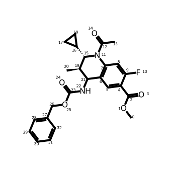 COC(=O)c1cc2c(cc1F)N(C(C)=O)[C@@H](C1CC1)[C@H](C)C2NC(=O)OCc1ccccc1